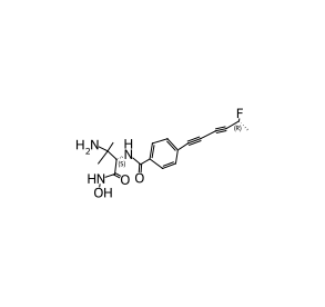 C[C@@H](F)C#CC#Cc1ccc(C(=O)N[C@H](C(=O)NO)C(C)(C)N)cc1